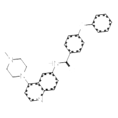 CN1CCN(c2ccnc3ccc(NC(=O)c4ccc(Oc5ccccc5)cc4)cc23)CC1